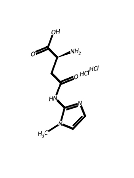 Cl.Cl.Cn1ccnc1NC(=O)C[C@H](N)C(=O)O